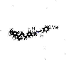 COC1CCC(NC/C=C/C(=O)Nc2c(F)cc(C(=O)c3ccc4c(-c5c(C(F)(F)F)cc6c(cnn6C)c5Cl)cccn34)cc2F)CC1